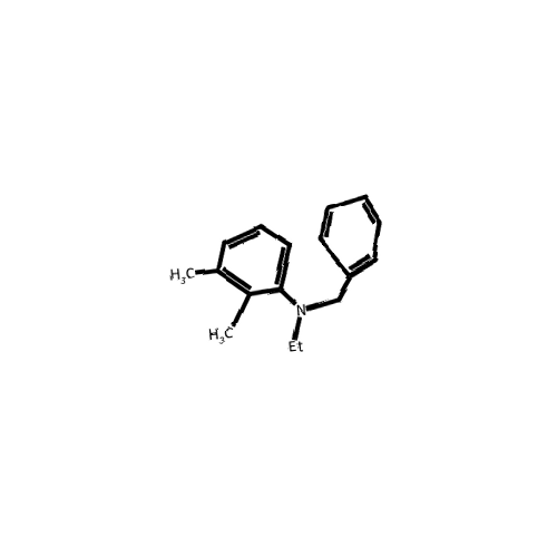 CCN(Cc1ccccc1)c1cccc(C)c1C